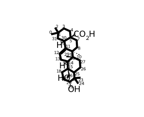 CC1(C)CC[C@]2(C(=O)O)CC[C@]3(C)C(=CC[C@@H]4[C@@]5(CO)CC[C@@H](O)C(C)(C)C5CC[C@]43C)[C@H]2C1